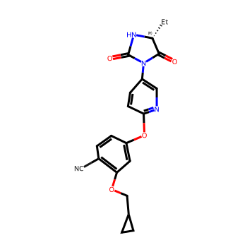 CC[C@H]1NC(=O)N(c2ccc(Oc3ccc(C#N)c(OCC4CC4)c3)nc2)C1=O